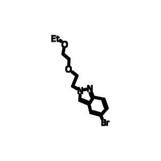 CCOCCOCCn1cc2cc(Br)ccc2n1